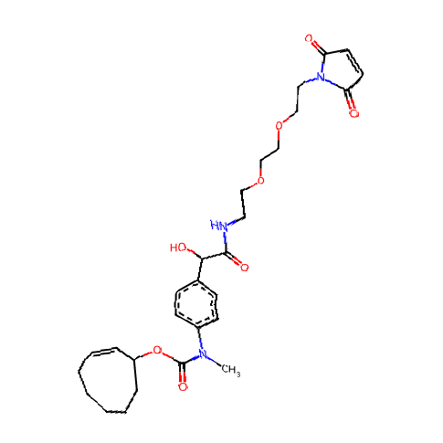 CN(C(=O)OC1C=CCCCCC1)c1ccc(C(O)C(=O)NCCOCCOCCN2C(=O)C=CC2=O)cc1